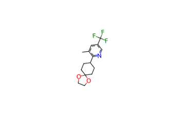 Cc1cc(C(F)(F)F)cnc1C1CCC2(CC1)OCCO2